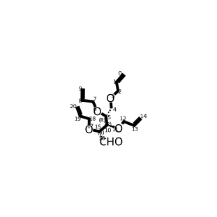 C=CCOC[C@@H](OCC=C)[C@@H](OCC=C)[C@H](C=O)OCC=C